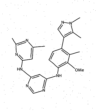 COc1c(Nc2cc(Nc3cc(C)nc(C)n3)ncn2)ccc(-c2cnn(C)c2C)c1C